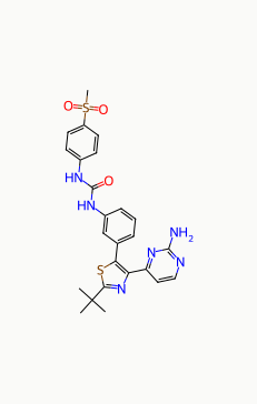 CC(C)(C)c1nc(-c2ccnc(N)n2)c(-c2cccc(NC(=O)Nc3ccc(S(C)(=O)=O)cc3)c2)s1